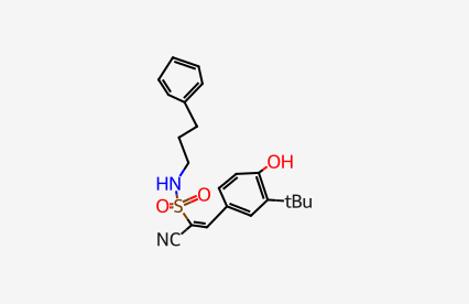 CC(C)(C)c1cc(/C=C(/C#N)S(=O)(=O)NCCCc2ccccc2)ccc1O